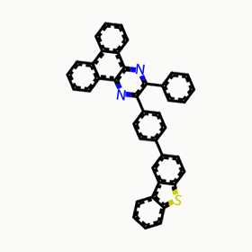 c1ccc(-c2nc3c4ccccc4c4ccccc4c3nc2-c2ccc(-c3ccc4sc5ccccc5c4c3)cc2)cc1